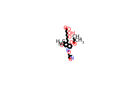 CCC(C)C(=O)OC1CCC(=NOCc2cnoc2)C2=CC(=O)C(C)C(CCC(=O)CC(O)CC(=O)[O-])C21.[Na+]